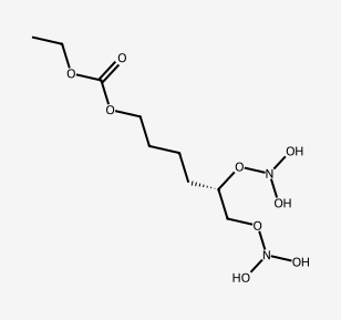 CCOC(=O)OCCCC[C@@H](CON(O)O)ON(O)O